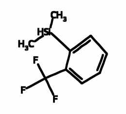 C[SiH](C)c1ccccc1C(F)(F)F